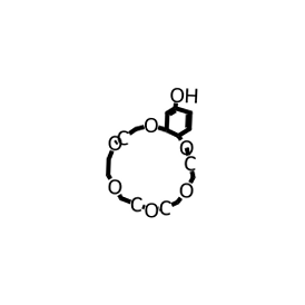 OC1=CC2OCCOCCOCCOCCOCCOC2C=C1